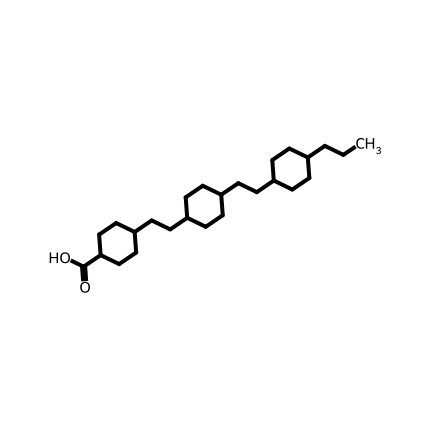 CCCC1CCC(CCC2CCC(CCC3CCC(C(=O)O)CC3)CC2)CC1